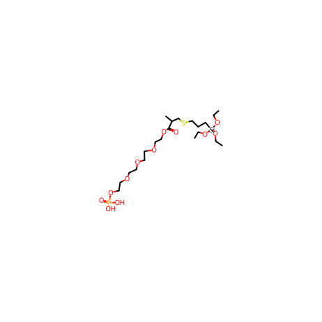 CCO[Si](CCCSCC(C)C(=O)OCCOCCOCCOCCOP(=O)(O)O)(OCC)OCC